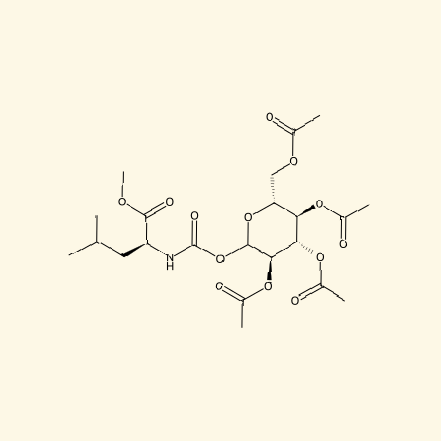 COC(=O)[C@H](CC(C)C)NC(=O)OC1O[C@H](COC(C)=O)[C@@H](OC(C)=O)[C@H](OC(C)=O)[C@H]1OC(C)=O